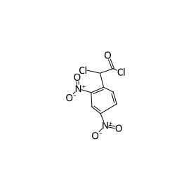 O=C(Cl)C(Cl)c1ccc([N+](=O)[O-])cc1[N+](=O)[O-]